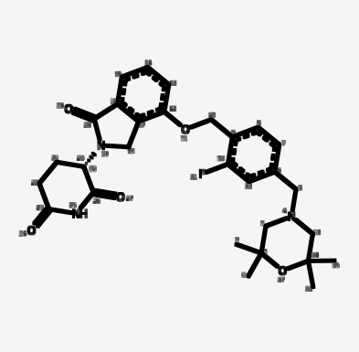 CC1(C)CN(Cc2ccc(COc3cccc4c3CN([C@H]3CCC(=O)NC3=O)C4=O)c(F)c2)CC(C)(C)O1